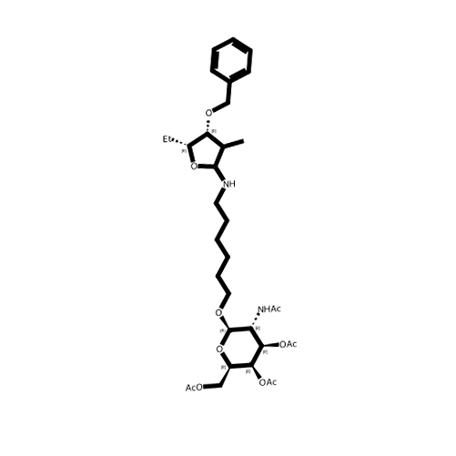 CC[C@H]1OC(NCCCCCCO[C@@H]2O[C@H](COC(C)=O)[C@H](OC(C)=O)[C@H](OC(C)=O)[C@H]2NC(C)=O)C(C)[C@H]1OCc1ccccc1